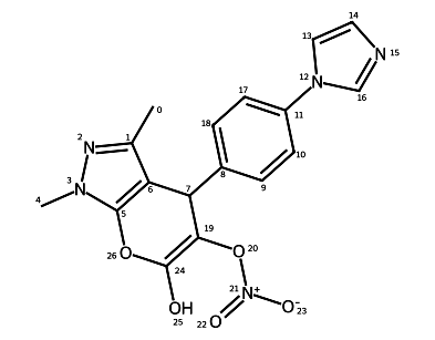 Cc1nn(C)c2c1C(c1ccc(-n3ccnc3)cc1)C(O[N+](=O)[O-])=C(O)O2